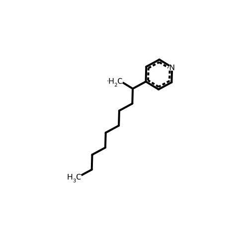 [CH2]C(CCCCCCCC)c1ccncc1